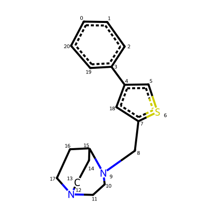 c1ccc(-c2csc(CN3CCN4CCC3CC4)c2)cc1